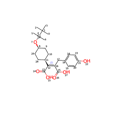 CC(C)(C)[Si](C)(C)O[C@H]1CC[C@@H](/C(C(=O)O)=C(\Cc2ccc(O)cc2)C(=O)O)CC1